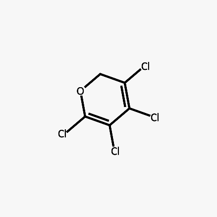 ClC1=C(Cl)C(Cl)=C(Cl)OC1